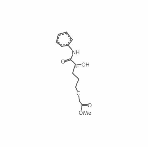 COC(=O)CCCCC[C@H](O)C(=O)Nc1ccccc1